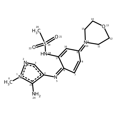 Cn1ncc(/N=C2/C=CC(=[N+]3CCOCC3)C=C2NS(C)(=O)=O)c1N